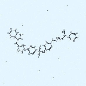 O=S(=O)(Nc1ccc(CCNCC(O)c2cccnc2)cc1)c1ccc(-c2noc(Cc3csc4ccccc34)n2)cc1